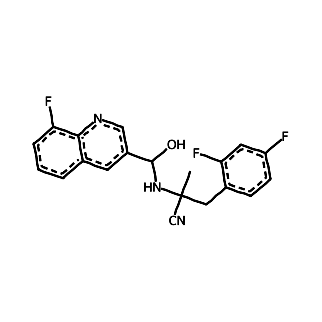 CC(C#N)(Cc1ccc(F)cc1F)NC(O)c1cnc2c(F)cccc2c1